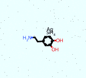 NCCc1ccc(O)c(O)c1.[Ag].[SiH4]